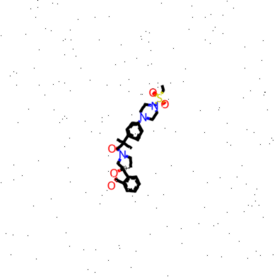 CCS(=O)(=O)N1CCN(c2ccc(C(C)(C)C(=O)N3CC[C@@]4(C3)OC(=O)c3ccccc34)cc2)CC1